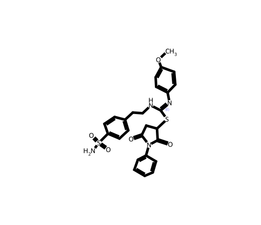 COc1ccc(/N=C(\NCCc2ccc(S(N)(=O)=O)cc2)SC2CC(=O)N(c3ccccc3)C2=O)cc1